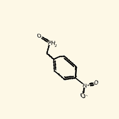 O=[PH2]Cc1ccc([N+](=O)[O-])cc1